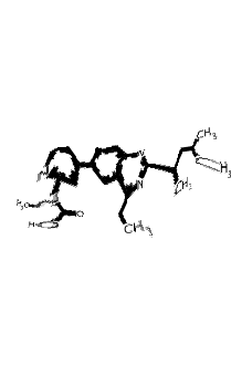 CCc1nc(C(C)CC(C)C)nc2ccc(-c3ccnc(N(C)C(=O)O)c3)cc12